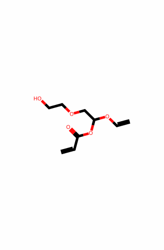 C=COC(COCCO)OC(=O)C=C